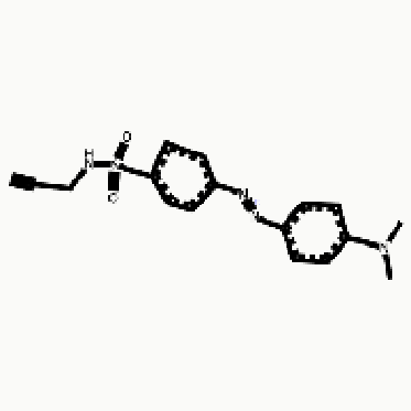 C#CCNS(=O)(=O)c1ccc(/N=N/c2ccc(N(C)C)cc2)cc1